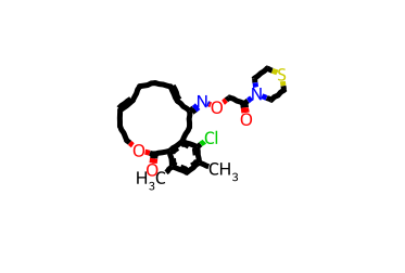 Cc1cc(C)c2c(c1Cl)CC(=N\OCC(=O)N1CCSCC1)/C=C/CC/C=C/CCOC2=O